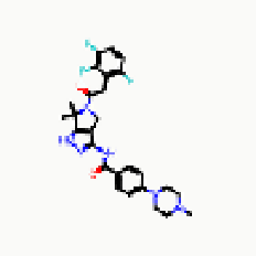 CN1CCN(c2ccc(C(=O)Nc3n[nH]c4c3CN(C(=O)Cc3c(F)ccc(F)c3F)C4(C)C)cc2)CC1